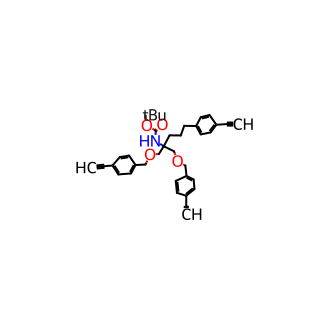 C#Cc1ccc(CCCC(COCc2ccc(C#C)cc2)(COCc2ccc(C#C)cc2)NC(=O)OC(C)(C)C)cc1